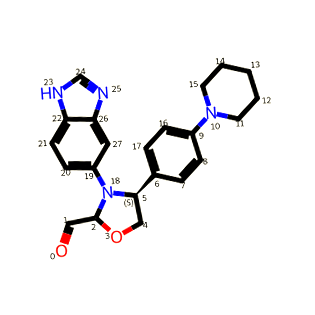 O=CC1OC[C@H](c2ccc(N3CCCCC3)cc2)N1c1ccc2[nH]cnc2c1